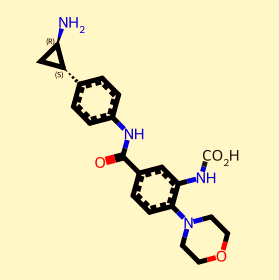 N[C@@H]1C[C@H]1c1ccc(NC(=O)c2ccc(N3CCOCC3)c(NC(=O)O)c2)cc1